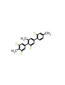 Cc1ccc(-c2cc(C)c(-c3cc(F)c(C)c(F)c3)c(F)c2)c(F)c1